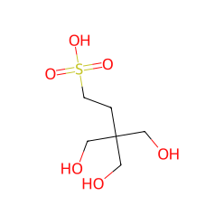 O=S(=O)(O)CCC(CO)(CO)CO